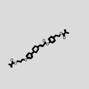 C=C(C)C(=O)OCCCOc1ccc(C2CCC(/C=C/C(=O)Oc3ccc(CCOC(=O)C(=C)C)cc3)CC2)cc1